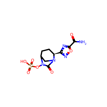 NC(=O)c1nc([C@@H]2CCC3CN2C(=O)N3OS(=O)(=O)O)no1